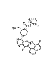 CC(C)(C)OC(=O)N1CCN(c2ncnc3c(F)c(-c4cccc5ccc(F)c(Cl)c45)ncc23)C[C@@H]1CC#N